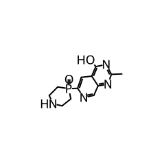 Cc1nc(O)c2cc(P3(=O)CCNCC3)ncc2n1